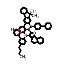 CCCCc1ccc(N2c3cc(C)cc4c3B(c3oc5c(ccc6ccccc65)c32)N(c2ccc(-c3ccccc3)cc2)c2cc3c(cc2-4)-c2ccccc2C3(C)C)c(-c2ccccc2)c1